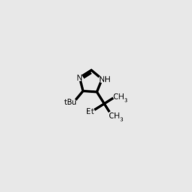 CCC(C)(C)C1NC=NC1C(C)(C)C